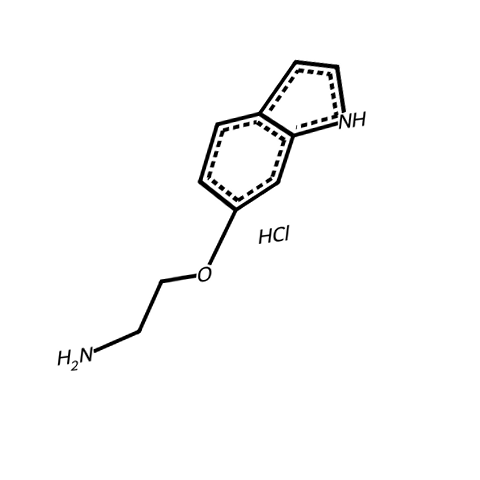 Cl.NCCOc1ccc2cc[nH]c2c1